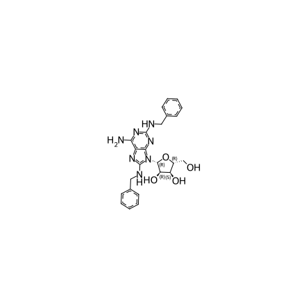 Nc1nc(NCc2ccccc2)nc2c1nc(NCc1ccccc1)n2[C@@H]1O[C@H](CO)[C@@H](O)[C@H]1O